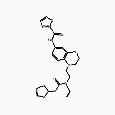 CCN(CCN1CCOc2cc(NC(=N)c3cccs3)ccc21)C(=O)CC1CCCC1